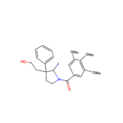 COc1cc(C(=O)N2CCC(CCO)(c3ccccc3)C2I)cc(OC)c1OC